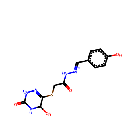 O=C(CSC1=NNC(=O)NC1O)N/N=C/c1ccc(O)cc1